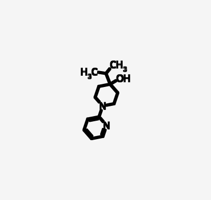 CC(C)C1(O)CCN(c2ccccn2)CC1